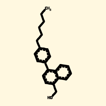 CCCCCCc1ccc(-c2ccc(CO)c3ccccc23)cc1